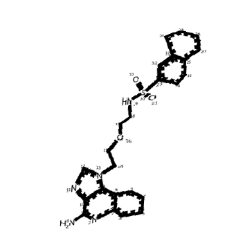 Nc1nc2ccccc2c2c1ncn2CCOCCNS(=O)(=O)c1ccc2ccccc2c1